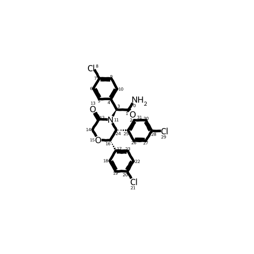 NC(=O)[C@H](c1ccc(Cl)cc1)N1C(=O)CO[C@@H](c2ccc(Cl)cc2)[C@H]1c1ccc(Cl)cc1